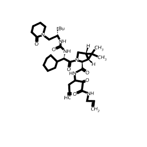 C#CCC(NC(=O)[C@@H]1[C@@H]2[C@H](CN1C(=O)[C@@H](NC(=O)N[C@H](CN1CCCCC1=O)C(C)(C)C)C1CCCCC1)C2(C)C)C(=O)C(=O)NCC=C